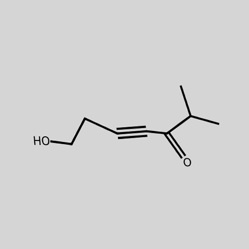 CC(C)C(=O)C#CCCO